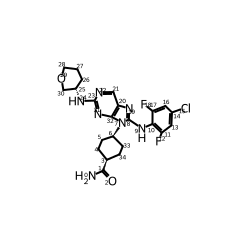 NC(=O)[C@H]1CC[C@@H](n2c(Nc3c(F)cc(Cl)cc3F)nc3cnc(N[C@H]4CCCOC4)nc32)CC1